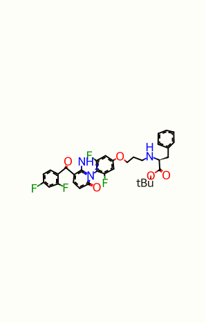 CC(C)(C)OC(=O)[C@H](Cc1ccccc1)NCCCOc1cc(F)c(-n2c(N)c(C(=O)c3ccc(F)cc3F)ccc2=O)c(F)c1